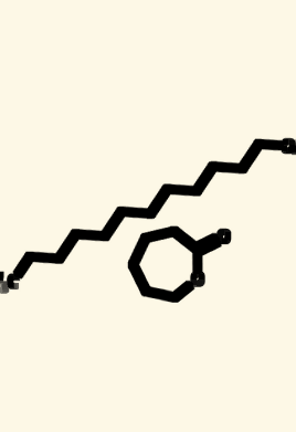 CCCCCCCCCCCCO.O=C1CCCCCO1